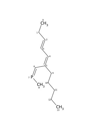 CC/C=C/C=C(\C=P/C)CCCCC